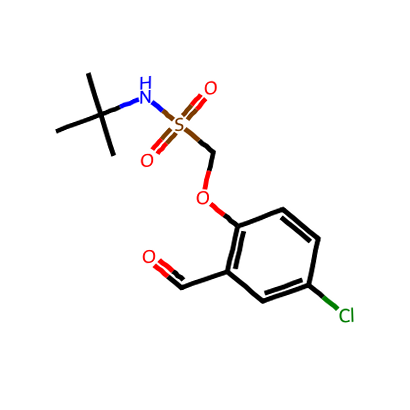 CC(C)(C)NS(=O)(=O)COc1ccc(Cl)cc1C=O